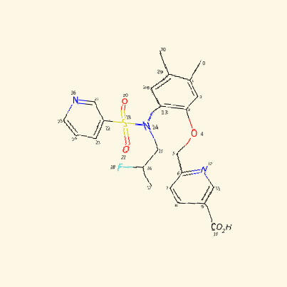 Cc1cc(OCc2ccc(C(=O)O)cn2)c(N(CC(C)F)S(=O)(=O)c2cccnc2)cc1C